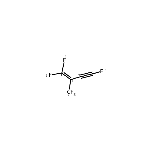 FC#CC(=C(F)F)C(F)(F)F